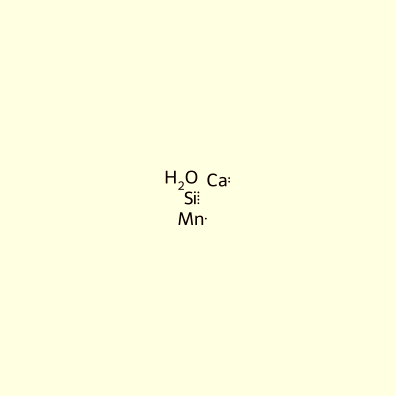 O.[Ca].[Mn].[Si]